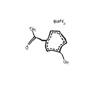 O=C(O)c1cccc(O)c1.[BaH2]